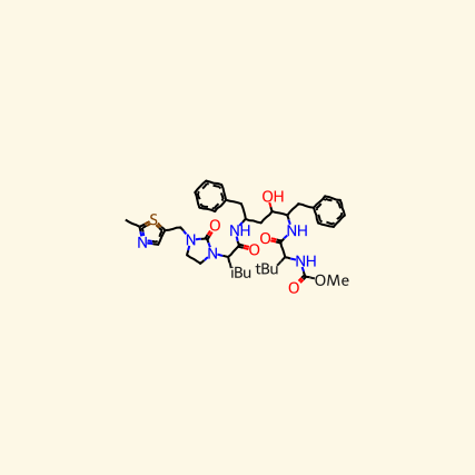 CCC(C)C(C(=O)NC(Cc1ccccc1)CC(O)C(Cc1ccccc1)NC(=O)C(NC(=O)OC)C(C)(C)C)N1CCN(Cc2cnc(C)s2)C1=O